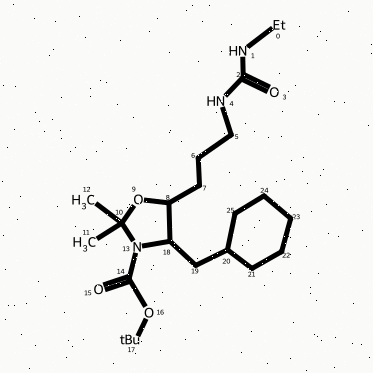 CCNC(=O)NCCCC1OC(C)(C)N(C(=O)OC(C)(C)C)C1CC1CCCCC1